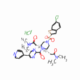 CN(C)C(=O)C[C@@H]1CN(S(=O)(=O)c2cc3ccc(Cl)cc3s2)C[C@H](CC(=O)N(C)C)N1C(=O)c1ncc(-c2ccncc2)cn1.Cl